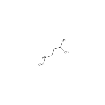 CCCC(O)CCNC=O